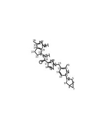 Cc1nc(N2CC3CC3C2)ccc1Cn1ncc(C(=O)N[C@@H]2CCc3c(C)n[nH]c32)n1